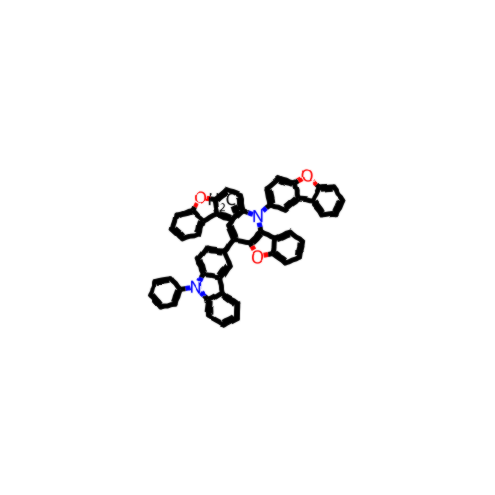 C=C/C=C(/c1ccc2c(c1)c1ccccc1n2-c1ccccc1)c1oc2ccccc2c1N(c1ccc2oc3ccccc3c2c1)c1ccc2oc3ccccc3c2c1